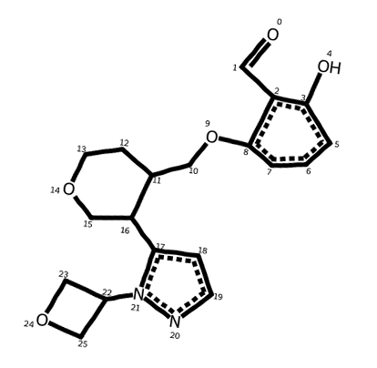 O=Cc1c(O)cccc1OCC1CCOCC1c1ccnn1C1COC1